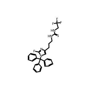 Fc1nc(CCCNC(=S)NCC(F)(F)F)cn1C(c1ccccc1)(c1ccccc1)c1ccccc1